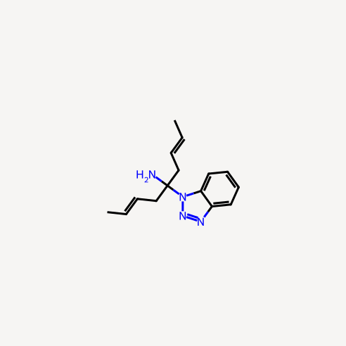 C/C=C/CC(N)(C/C=C/C)n1nnc2ccccc21